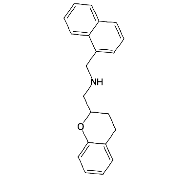 c1ccc2c(c1)CCC(CNCc1cccc3ccccc13)O2